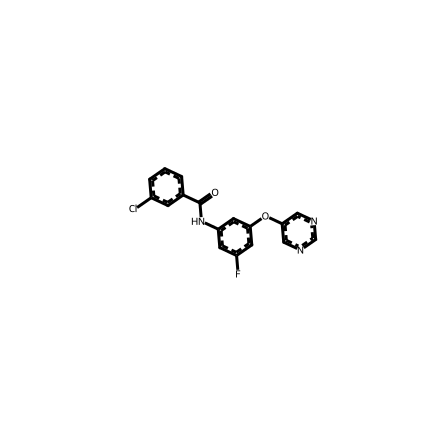 O=C(Nc1cc(F)cc(Oc2cncnc2)c1)c1cccc(Cl)c1